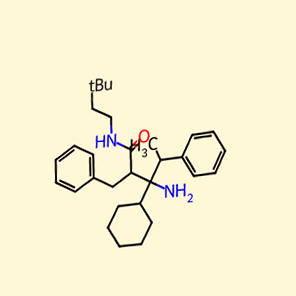 CC(c1ccccc1)C(N)(C1CCCCC1)C(Cc1ccccc1)C(=O)NCCC(C)(C)C